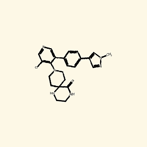 Cn1cc(-c2ccc(-c3cncc(Cl)c3N3CCC4(CC3)NCCNC4=O)cc2)cn1